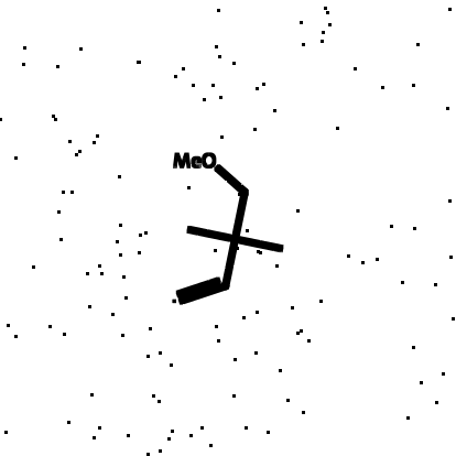 [CH]=CC(C)(C)COC